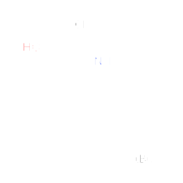 CC(CO)NCc1cccc(C(C)(C)C)c1